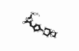 CSC1=NC(=O)C(=Cc2ccc(N3CCC4(CC3)OCCO4)cc2)S1